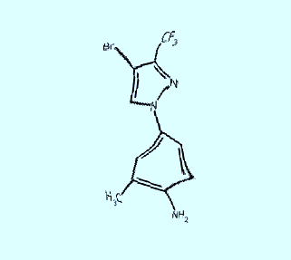 Cc1cc(-n2cc(Br)c(C(F)(F)F)n2)ccc1N